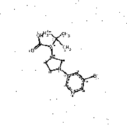 CC(C)(C)N(C(=O)O)[C@@H]1CCN(c2cncc(Br)c2)C1